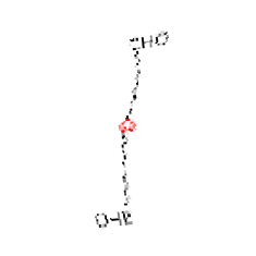 O=CCCCCCCCCCCCCOCCCCCCCCCCCCC=O